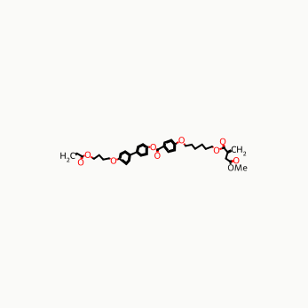 C=CC(=O)OCCCCOc1ccc(-c2ccc(OC(=O)c3ccc(OCCCCCCOC(=O)C(=C)CC(=O)OC)cc3)cc2)cc1